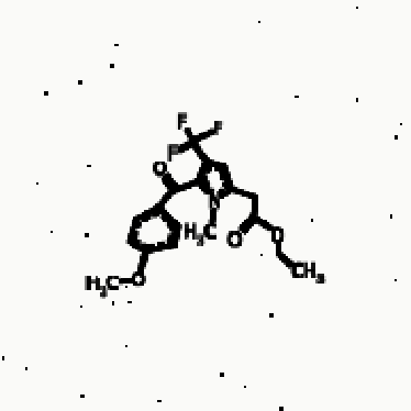 CCOC(=O)Cc1cc(C(F)(F)F)c(C(=O)c2ccc(OC)cc2)n1C